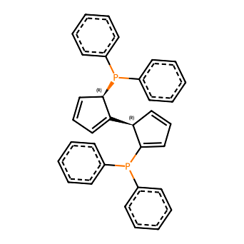 C1=C[C@H](C2=CC=C[C@H]2P(c2ccccc2)c2ccccc2)C(P(c2ccccc2)c2ccccc2)=C1